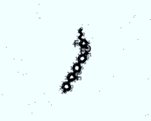 C=CCCc1ccc(OC(F)(F)C2CCC(C3CCC(c4ccc(C5CCC(C)CC5)cc4F)CC3)CC2)cc1F